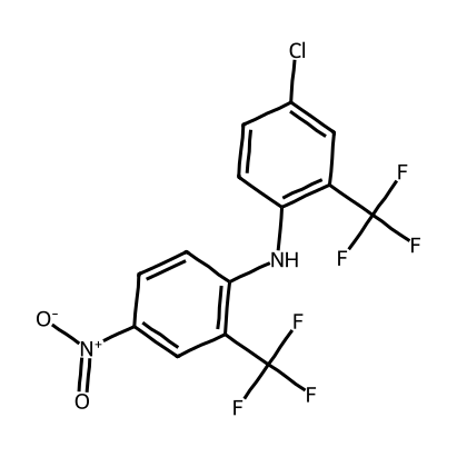 O=[N+]([O-])c1ccc(Nc2ccc(Cl)cc2C(F)(F)F)c(C(F)(F)F)c1